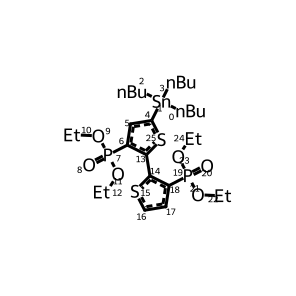 CCC[CH2][Sn]([CH2]CCC)([CH2]CCC)[c]1cc(P(=O)(OCC)OCC)c(-c2sccc2P(=O)(OCC)OCC)s1